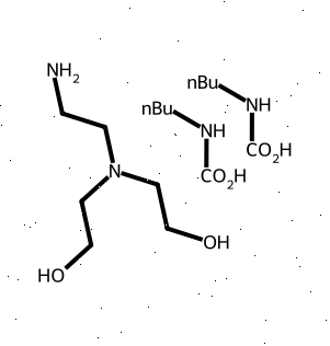 CCCCNC(=O)O.CCCCNC(=O)O.NCCN(CCO)CCO